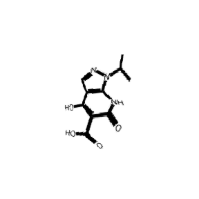 CC(C)n1ncc2c(O)c(C(=O)O)c(=O)[nH]c21